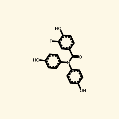 O=C(c1ccc(O)c(F)c1)N(c1ccc(O)cc1)c1ccc(O)cc1